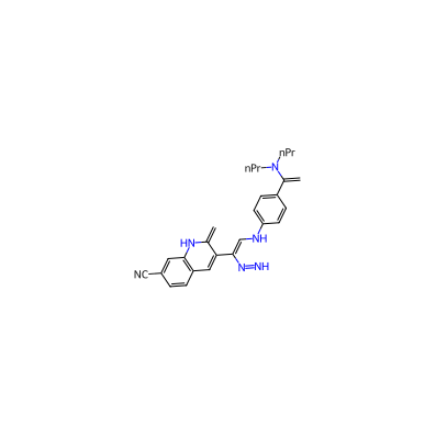 C=C1Nc2cc(C#N)ccc2C=C1/C(=C/Nc1ccc(C(=C)N(CCC)CCC)cc1)N=N